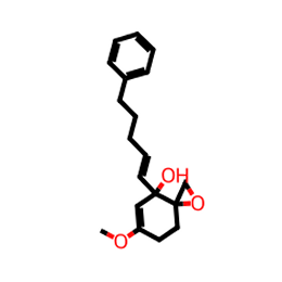 COC1=CC(O)(/C=C/CCCc2ccccc2)C2(CC1)CO2